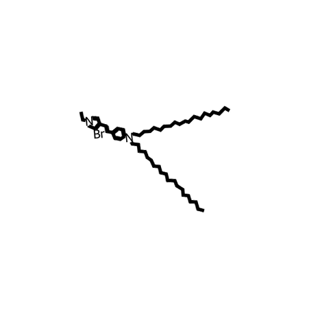 CCCCCCCCCCCCCCCCCCCCN(CCCCCCCCCCCCCCCCCCCC)c1ccc(C=Cc2cc[n+](CC)cc2Br)cc1